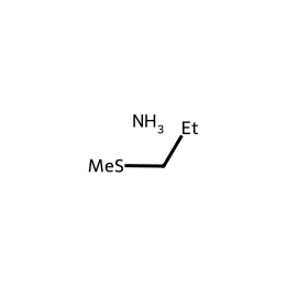 CCCSC.N